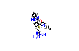 CN1CCC(OC(c2cccc(SCCNC(=N)N)c2)c2nc3ccccc3[nH]2)CC1